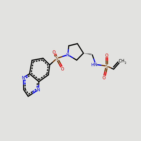 C=CS(=O)(=O)NC[C@H]1CCN(S(=O)(=O)c2ccc3nccnc3c2)C1